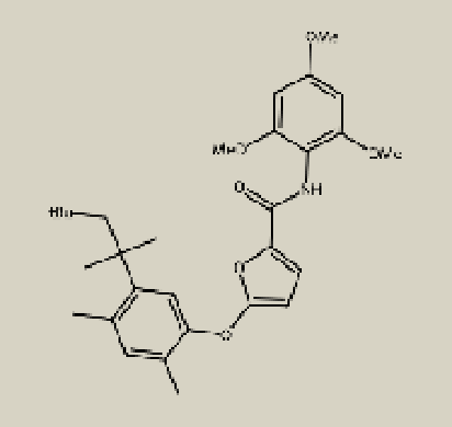 COc1cc(OC)c(NC(=O)c2ccc(Oc3cc(C(C)(C)CC(C)(C)C)c(C)cc3C)o2)c(OC)c1